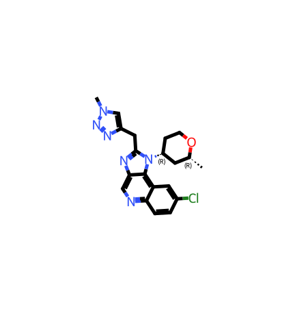 C[C@@H]1C[C@H](n2c(Cc3cn(C)nn3)nc3cnc4ccc(Cl)cc4c32)CCO1